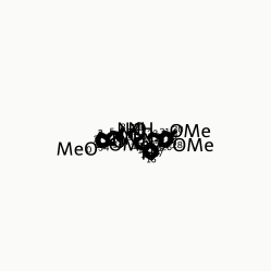 COc1ccc(CC(=O)N=C(N)NC(Cc2ccccc2)C(=O)NCc2ccc(OC)c(OC)c2)c(OC)c1